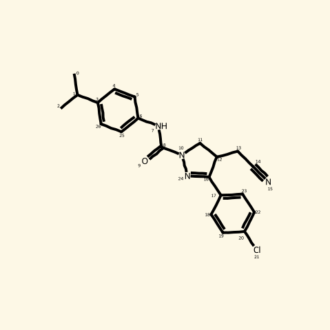 CC(C)c1ccc(NC(=O)N2CC(CC#N)C(c3ccc(Cl)cc3)=N2)cc1